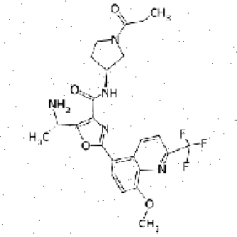 CCC(=O)N1CC[C@H](NC(=O)c2nc(-c3ccc(OC)c4nc(C(F)(F)F)ccc34)oc2[C@H](C)N)C1